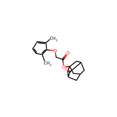 Cc1cccc(C)c1OCC(=O)OC12CC3CC(C1)C(=O)C(C3)C2